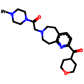 CC(C)N1CCN(C(=O)CN2CCc3ccc(C(=O)C4CCOCC4)nc3CC2)CC1